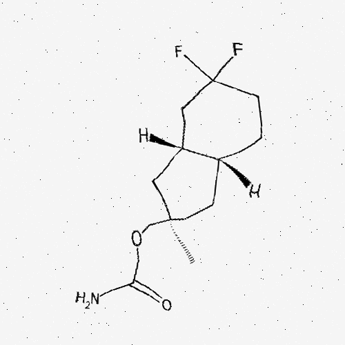 C[C@@]1(OC(N)=O)C[C@H]2CCC(F)(F)C[C@H]2C1